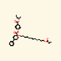 C=CC(=O)OCCCCCCCCCCCCOC1(C(=O)Oc2ccc(C(=O)OC(C)CC)cc2)C=CC(c2ccccc2)=CC1